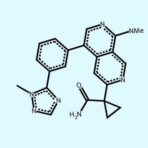 CNc1ncc(-c2cccc(-c3ncnn3C)c2)c2cc(C3(C(N)=O)CC3)ncc12